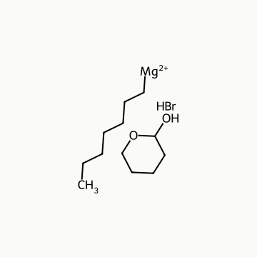 Br.CCCCCC[CH2][Mg+2].OC1CCCCO1